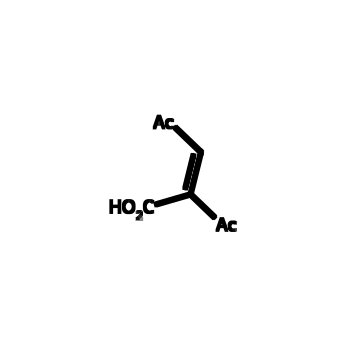 CC(=O)C=C(C(C)=O)C(=O)O